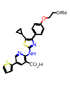 COCCOc1ccc(-c2nc(Nc3ncc(-c4cccs4)cc3C(=O)O)sc2C2CC2)cc1